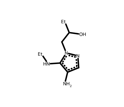 CCNc1c(N)cnn1CC(O)CC